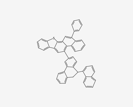 c1ccc(-c2cc3c4sc5ccccc5c4cc(-c4ccc5c(c4)-c4ccccc4CC5c4cccc5ccccc45)c3c3ccccc23)cc1